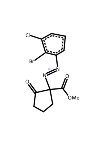 COC(=O)C1(/N=N/c2cccc(Cl)c2Br)CCCC1=O